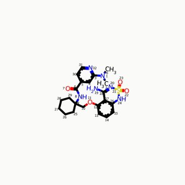 CN(C)c1cc(C(=O)NC2(COc3cccc4c3C(N)=NS(=O)(=O)N4)CCCCC2)ccn1